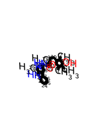 Cc1c(C)c2c(c(C)c1O)CCC(C)(C(=O)Nc1cc3c([nH]c4ccccc43)c(C)n1)O2